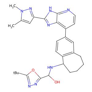 Cc1cc(-c2nc3c(-c4ccc5c(c4)CCCCC5NC(O)c4nnc(C(C)(C)C)o4)ccnc3[nH]2)nn1C